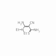 CCN(CC)C(N)=C(C#N)C(N)=S